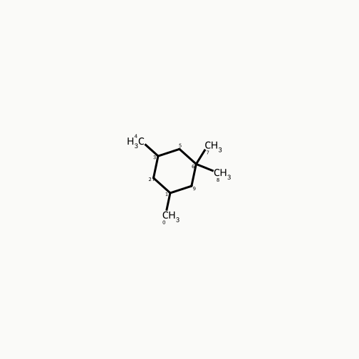 CC1[CH]C(C)CC(C)(C)C1